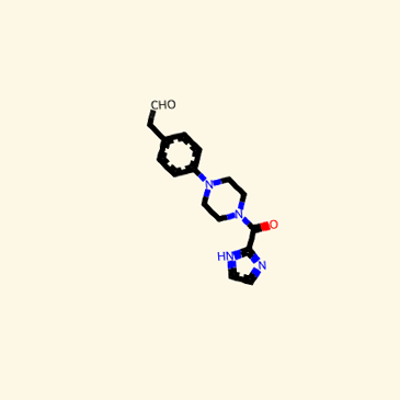 O=CCc1ccc(N2CCN(C(=O)c3ncc[nH]3)CC2)cc1